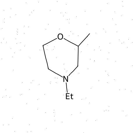 CCN1CCOC(C)C1